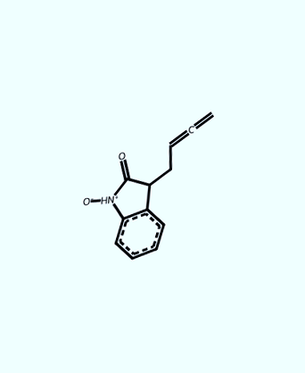 C=C=CCC1C(=O)[NH+]([O-])c2ccccc21